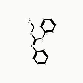 CCOC(=Nc1ccccc1)Oc1ccccc1